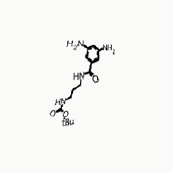 CC(C)(C)OC(=O)NCCCNC(=O)c1cc(N)cc(N)c1